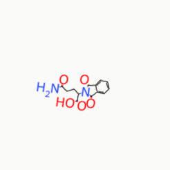 NC(=O)CCC(C(=O)O)N1C(=O)c2ccccc2C1=O